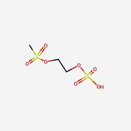 CS(=O)(=O)OCCOS(=O)(=O)O